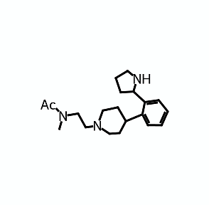 CC(=O)N(C)CCN1CCC(c2ccccc2C2CCCN2)CC1